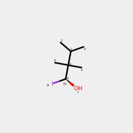 CC(C)C(C)(C)[C@@H](O)I